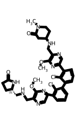 COc1nc(-c2cccc(-c3cccc(-c4cnc(CNC5CCN(C)C(=O)C5)c(OC)n4)c3Cl)c2Cl)cnc1CNC[C@@H]1CCC(=O)N1